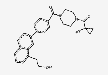 O=C(c1ccc(-c2ccc3cccc(CCO)c3c2)cc1)N1CCN(C(=O)C2(O)CC2)CC1